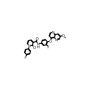 COc1cnc2c(Oc3ccc(NC(=O)c4cccn(-c5ccc(F)cc5)c4=O)cc3F)ccnc2c1